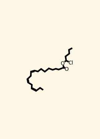 CC/C=C\C/C=C\C/C=C\CCCCCCCC(=O)OC(Cl)CCCC